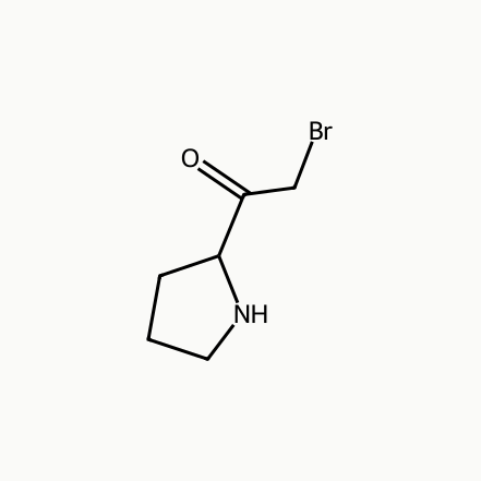 O=C(CBr)C1CCCN1